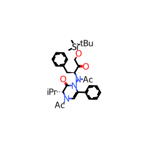 CC(=O)N1C=C(c2ccccc2)N(N(C(C)=O)[C@@H](Cc2ccccc2)C(=O)CO[Si](C)(C)C(C)(C)C)C(=O)[C@H]1C(C)C